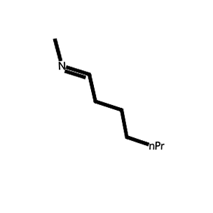 CCCCCCC=NC